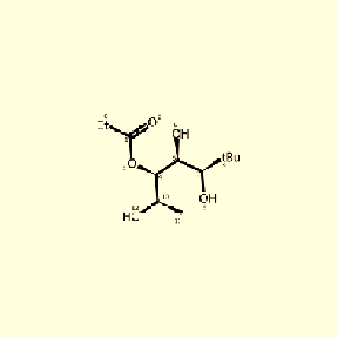 CCC(=O)O[C@@H]([C@@H](O)[C@H](O)C(C)(C)C)[C@@H](C)O